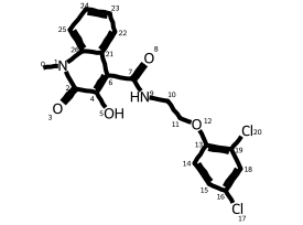 Cn1c(=O)c(O)c(C(=O)NCCOc2ccc(Cl)cc2Cl)c2ccccc21